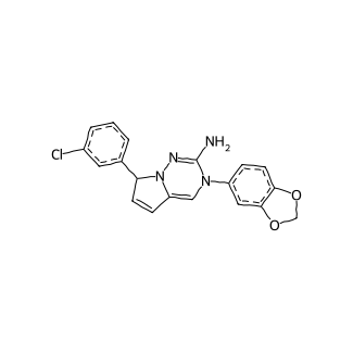 NC1=NN2C(=CN1c1ccc3c(c1)OCO3)C=CC2c1cccc(Cl)c1